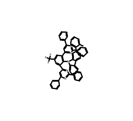 Cc1ccccc1-c1ccc2c3ccccc3n(-c3c(-c4cc(-c5ccccc5)nc(-c5ccccc5)n4)cc(C(F)(F)F)cc3-c3cc(-c4ccccc4)nc(-c4ccccc4)n3)c2c1